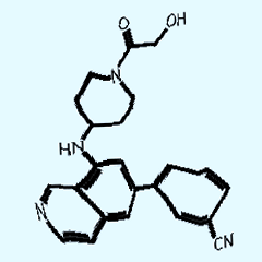 N#CC1=CC(c2cc(NC3CCN(C(=O)CO)CC3)c3cnccc3c2)CC=C1